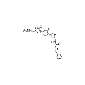 CC(=O)NCC1CN(c2ccc(N3CC(C)C(CNC(=O)COCc4ccccc4)C3)c(F)c2)C(=O)O1